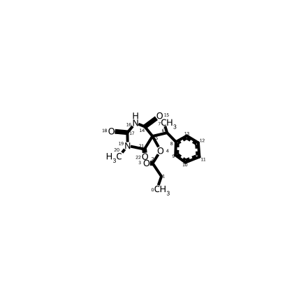 CCC(=O)OC1(C(C)c2ccccc2)C(=O)NC(=O)N(C)C1=O